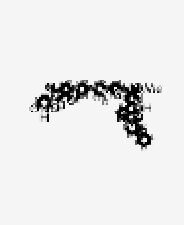 COc1ncc(-c2ccnc(N3CCc4c(sc5c4CCCC5)C3=O)c2CO)cc1Nc1ccc(N2CCN(C3CCN4c5ccc6c(c5OCC4C3)C(=O)N(C3CCC(=O)NC3=O)C6=O)C[C@@H]2C)cn1